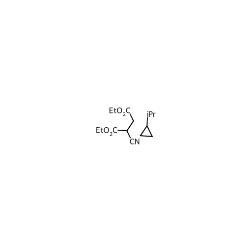 CC(C)C1CC1.CCOC(=O)CC(C#N)C(=O)OCC